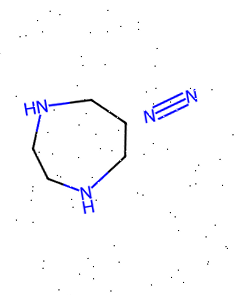 C1CNCCNC1.N#N